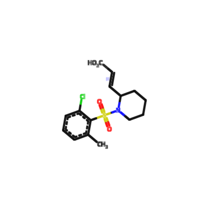 Cc1cccc(Cl)c1S(=O)(=O)N1CCCCC1/C=C/C(=O)O